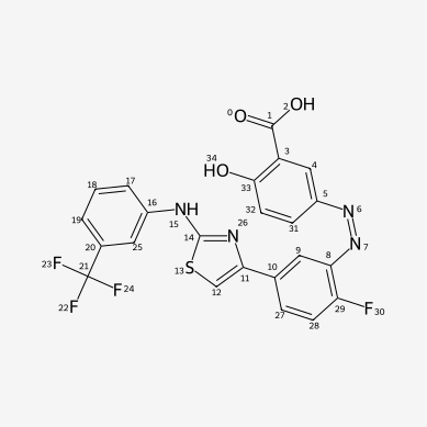 O=C(O)c1cc(/N=N\c2cc(-c3csc(Nc4cccc(C(F)(F)F)c4)n3)ccc2F)ccc1O